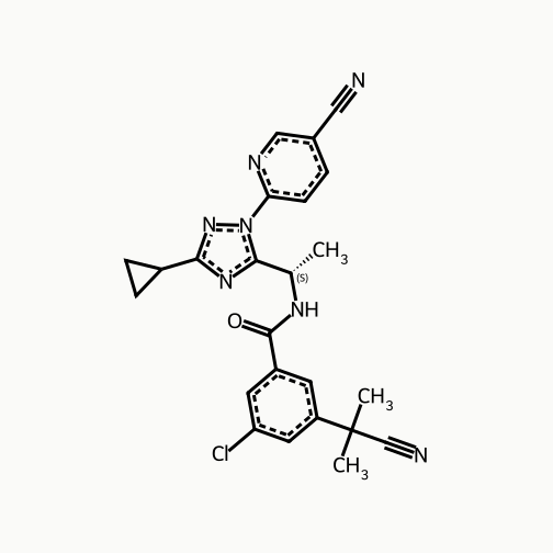 C[C@H](NC(=O)c1cc(Cl)cc(C(C)(C)C#N)c1)c1nc(C2CC2)nn1-c1ccc(C#N)cn1